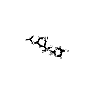 CC(C)OC1CNCC(S(=O)(=O)Nc2ncc(F)cn2)C1